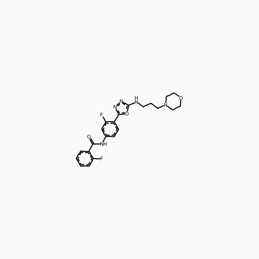 O=C(Nc1ccc(-c2nnc(NCCCN3CCOCC3)o2)c(F)c1)c1ccccc1F